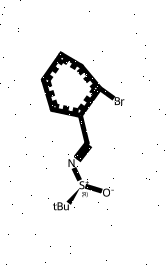 CC(C)(C)[S@+]([O-])N=Cc1ccccc1Br